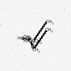 C=C(CCCCCCCCCCCCCCCC)OOCC(COP(=O)(O)OCC(O)CO)OOC(=C)CCCCCCCCCCCCCCCC